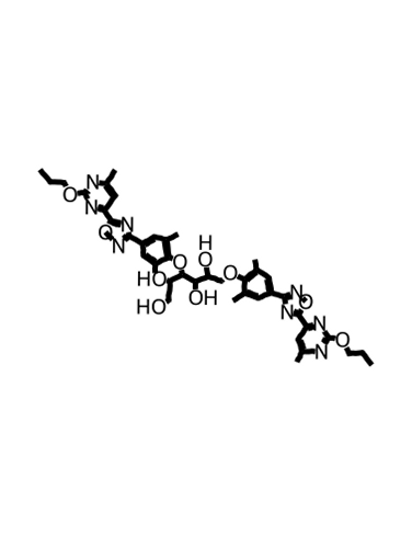 CCCOc1nc(C)cc(-c2nc(-c3cc(C)c(OCC(O)C(O)C(Oc4c(C)cc(-c5noc(-c6cc(C)nc(OCCC)n6)n5)cc4C)C(O)CO)c(C)c3)no2)n1